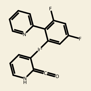 O=C=C1NC=CC=[C]1[Ir+][c]1cc(F)cc(F)c1-c1ccccn1